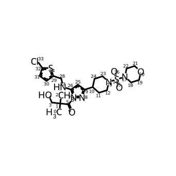 CC(C)(CO)C(=O)n1nc(C2CCN(S(=O)(=O)N3CCOCC3)CC2)cc1NCc1ccc(Cl)s1